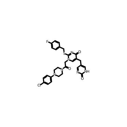 O=C(Cn1cc(Cc2cnc(=O)[nH]c2)c(=O)nc1SCc1ccc(F)cc1)N1CCN(c2ccc(Cl)cc2)CC1